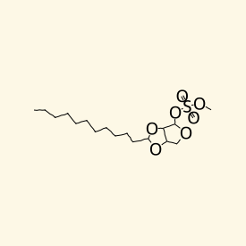 CCCCCCCCCCCC1OC2COC(OS(=O)(=O)OC)C2O1